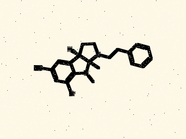 CN1c2c(Br)cc(O)cc2[C@@H]2CCN(CCc3ccccc3)C21C